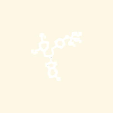 CC(C)(Oc1ccc(CCN(Cc2ccc(C(F)(F)F)cc2C(F)(F)F)c2nc3ccc(Cl)cc3s2)cc1)C(=O)O